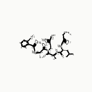 CC(C)C[C@H](NC(=O)CN)C(=O)N[C@@H](C)C(=O)N(CC(=O)O)C(=O)[C@H](C)NC(=O)c1ccccc1N